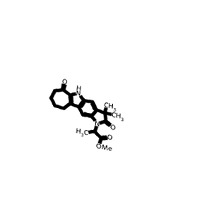 COC(=O)C(C)N1C(=O)C(C)(C)c2cc3[nH]c4c(c3cc21)CCCCC4=O